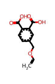 C=COCc1ccc(C(=O)O)c(C(=O)O)c1